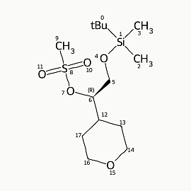 CC(C)(C)[Si](C)(C)OC[C@H](OS(C)(=O)=O)C1CCOCC1